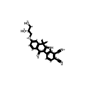 CC1(C)c2cc(OC[C@H](O)CO)ccc2C(=O)c2c1[nH]c1c(C#N)c(C#N)ccc21